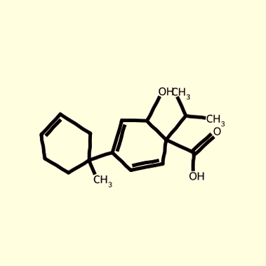 CC(C)C1(C(=O)O)C=CC(C2(C)CC=CCC2)=CC1O